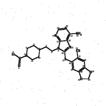 CCC(=O)N1CCC(CCn2c(Sc3cc4c(cc3C#N)OCO4)nc3c(N)ncnc32)CC1